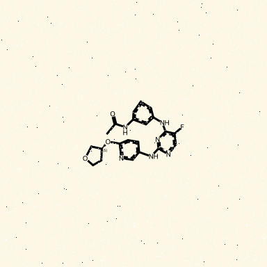 CC(=O)Nc1cccc(Nc2nc(Nc3ccc(O[C@H]4CCOC4)nc3)ncc2F)c1